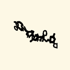 Cc1cc(Cl)cc(NC(=O)c2cc(C)n(-c3ccc(N4CCN(C)C(=O)C4)cn3)c2)c1